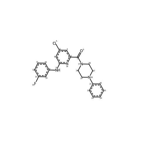 O=C(c1cc(Cl)cc(Nc2cccc(F)c2)n1)N1CCN(c2ccccc2)CC1